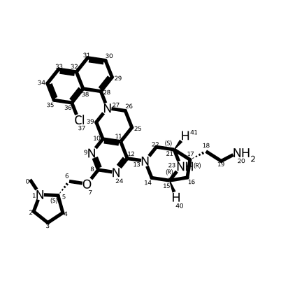 CN1CCC[C@H]1COc1nc2c(c(N3C[C@H]4C[C@@H](CCN)[C@@H](C3)N4)n1)CCN(c1cccc3cccc(Cl)c13)C2